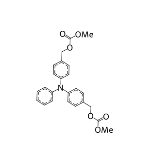 COC(=O)OCc1ccc(N(c2ccccc2)c2ccc(COC(=O)OC)cc2)cc1